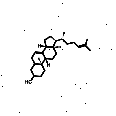 CC(C)=CCC[C@@H](C)[C@H]1CC[C@H]2C3=CCC4CC(O)CC[C@]4(C)[C@H]3CC[C@]12C